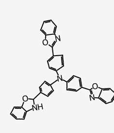 c1ccc2c(c1)NC(c1ccc(N(c3ccc(-c4nc5ccccc5o4)cc3)c3ccc(-c4nc5ccccc5o4)cc3)cc1)O2